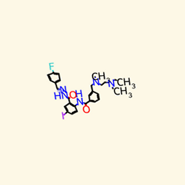 CCN(CC)CCN(C)Cc1cccc(C(=O)Nc2ccc(I)cc2C(=O)N/N=C/c2ccc(F)cc2)c1